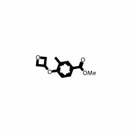 COC(=O)c1ccc(OC2COC2)c(C)c1